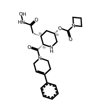 O=C(C[C@@H]1C[C@H](OC(=O)N2CCC2)CN[C@@H]1C(=O)N1CC=C(c2ccccc2)CC1)NO